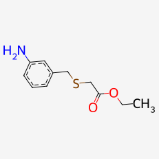 CCOC(=O)CSCc1cccc(N)c1